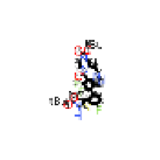 CC(C)(C)OC(=O)Nc1sc2c(F)ccc(-c3c(F)c(F)c4c5c3cnn5CC[C@H]3CN(C(=O)OC(C)(C)C)CCN3C4=O)c2c1C#N